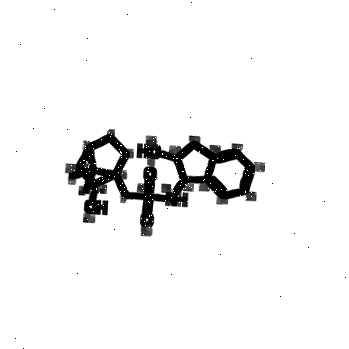 CC1(C)C2CCC1(CS(=O)(=O)NC1c3ccccc3CC1O)C(O)C2